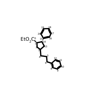 CCOC(=O)[C@@H]1CC(CCCc2ccccc2)C[C@H]1c1ccccc1